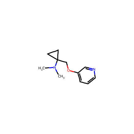 CN(C)C1(COc2cccnc2)CC1